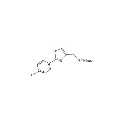 [N-]=[N+]=NCc1coc(-c2ccc(F)cc2)n1